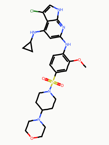 COc1cc(S(=O)(=O)N2CCC(N3CCOCC3)CC2)ccc1Nc1cc(NC2CC2)c2c(Cl)c[nH]c2n1